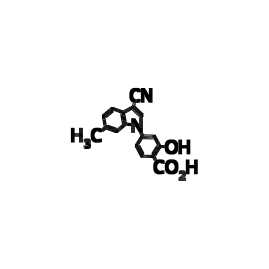 Cc1ccc2c(C#N)cn(-c3ccc(C(=O)O)c(O)c3)c2c1